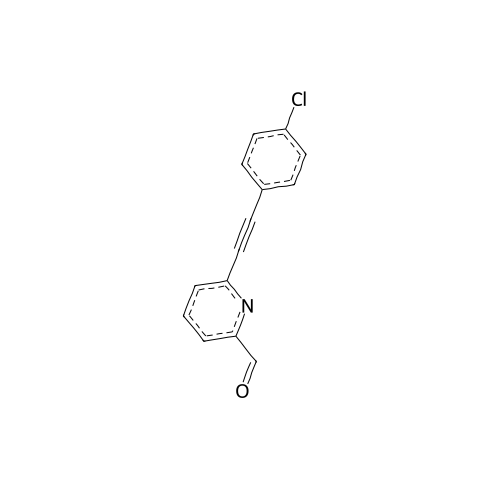 O=Cc1cccc(C#Cc2ccc(Cl)cc2)n1